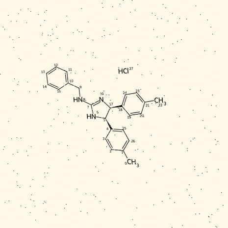 Cc1ccc([C@H]2NC(NCc3ccccc3)=N[C@H]2c2ccc(C)cc2)cc1.Cl